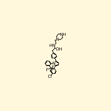 OC(Cc1ccc(-c2ccc(-c3ccc(Cl)cc3)n2-c2ccccc2C(F)(F)F)cc1)NCCN1CCNCC1